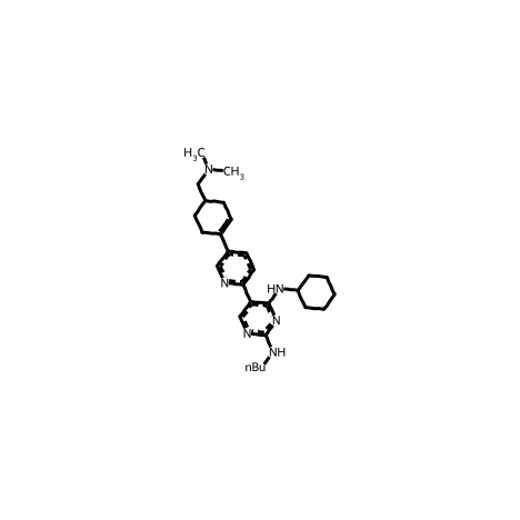 CCCCNc1ncc(-c2ccc(C3=CCC(CN(C)C)CC3)cn2)c(NC2CCCCC2)n1